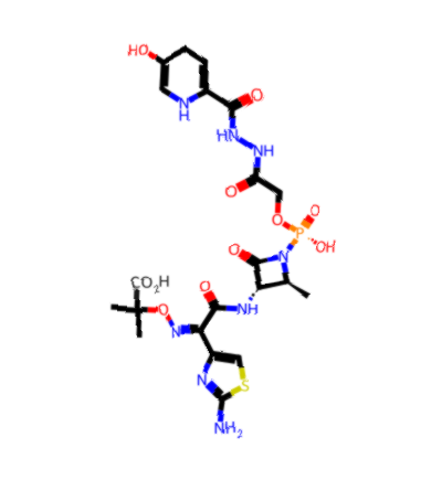 C[C@H]1[C@H](NC(=O)/C(=N\OC(C)(C)C(=O)O)c2csc(N)n2)C(=O)N1[P@@](=O)(O)OCC(=O)NNC(=O)C1=CCC(O)=CN1